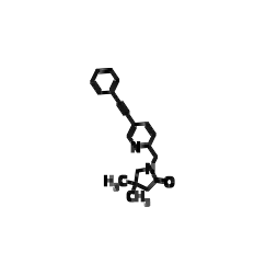 CC1(C)CC(=O)N(Cc2ccc(C#Cc3ccccc3)cn2)C1